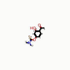 CC(=O)c1ccc(OC(=S)N(C)C)cc1O